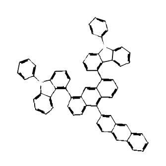 c1ccc(-p2c3ccccc3c3c(-c4cccc5c(-c6ccc7cc8ccccc8cc7c6)c6cccc(-c7cccc8c7c7ccccc7p8-c7ccccc7)c6cc45)cccc32)cc1